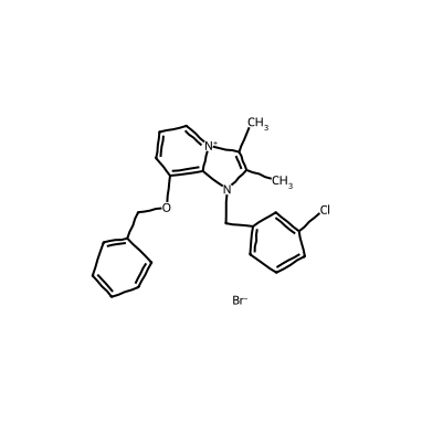 Cc1c(C)[n+]2cccc(OCc3ccccc3)c2n1Cc1cccc(Cl)c1.[Br-]